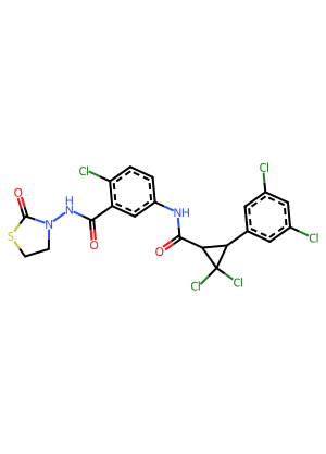 O=C(NN1CCSC1=O)c1cc(NC(=O)C2C(c3cc(Cl)cc(Cl)c3)C2(Cl)Cl)ccc1Cl